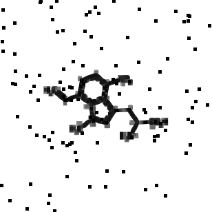 C=Cc1ccc([N+](=O)[O-])c2c(CC(N)C(=O)O)cn(C)c12